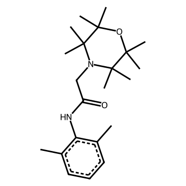 Cc1cccc(C)c1NC(=O)CN1C(C)(C)C(C)(C)OC(C)(C)C1(C)C